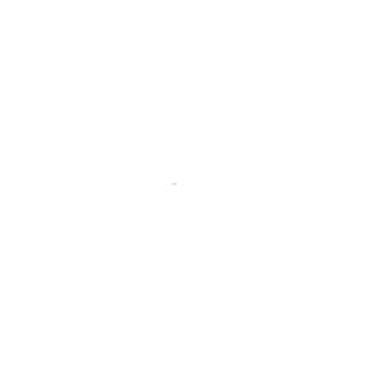 CCCCC[Si]1(c2ccccc2)CCC(C=O)CC1